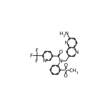 CS(=O)(=O)c1ccccc1N(Cc1cnc2ccc(N)nc2c1)C(=O)c1ccc(C(F)(F)F)nc1